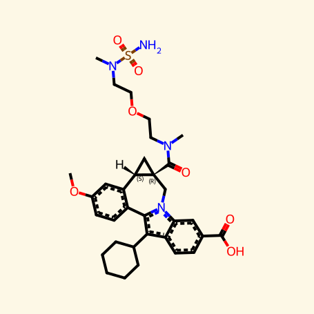 COc1ccc2c(c1)[C@@H]1C[C@]1(C(=O)N(C)CCOCCN(C)S(N)(=O)=O)Cn1c-2c(C2CCCCC2)c2ccc(C(=O)O)cc21